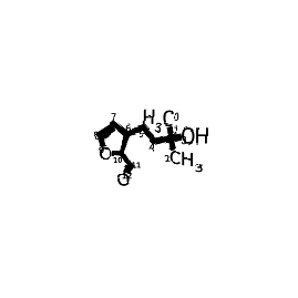 CC(C)(O)CCC1C=COC1C=O